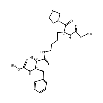 CC(C)(C)OC(=O)N[C@@H](CCCCNC(=O)[C@H](S)[C@@H](Cc1ccccc1)NC(=O)OC(C)(C)C)C(=O)N1CCSC1